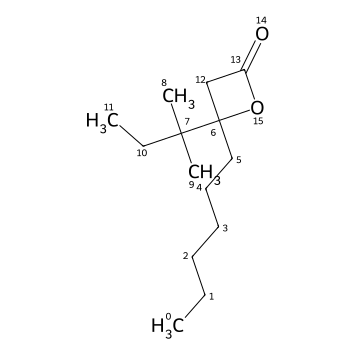 CCCCCCC1(C(C)(C)CC)CC(=O)O1